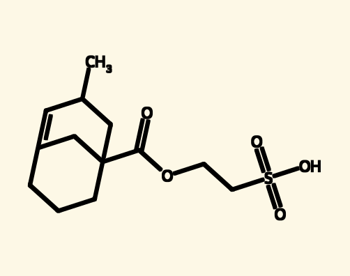 CC1C=C2CCCC(C(=O)OCCS(=O)(=O)O)(C2)C1